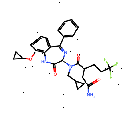 NC(=O)CC(CCC(F)(F)F)C(=O)N(CC1CC1)[C@@H]1N=C(c2ccccc2)c2cccc(OC3CC3)c2NC1=O